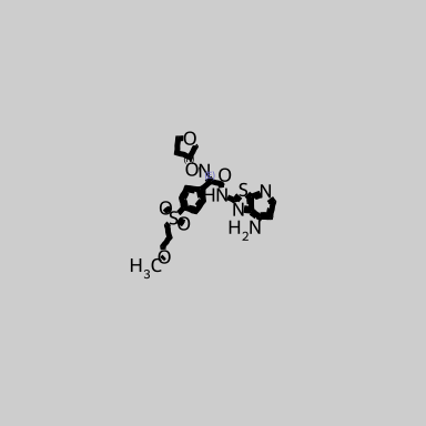 COCCCS(=O)(=O)c1ccc(/C(=N\O[C@@H]2CCOC2)C(=O)Nc2nc3c(N)ccnc3s2)cc1